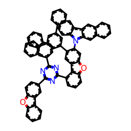 c1ccc(-c2cc(-c3ccccc3)cc(-c3cc4c(cc3-n3c5ccccc5c5cc6ccccc6cc53)oc3cccc(-c5nc(-c6ccc7ccccc7c6)nc(-c6ccc7oc8ccccc8c7c6)n5)c34)c2)cc1